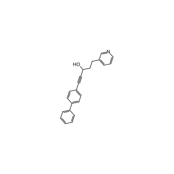 OC(C#Cc1ccc(-c2ccccc2)cc1)CCc1cccnc1